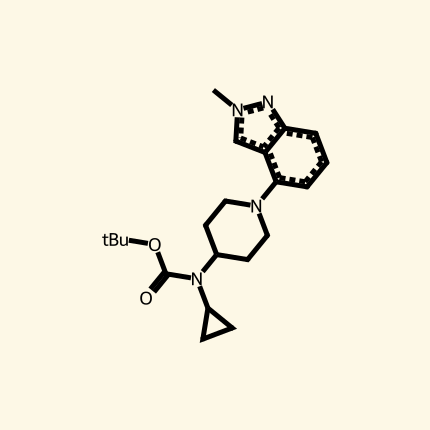 Cn1cc2c(N3CCC(N(C(=O)OC(C)(C)C)C4CC4)CC3)cccc2n1